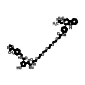 Cc1ncsc1-c1ccc(CNC(=O)[C@@H]2C[C@@H](O)CC2C(=O)[C@@H](NC(=O)COCCOCCOCCOCCOCC(=O)Nc2ccc([C@@H]3c4[nH]c5ccccc5c4C[C@@H](C)N3CC(C)(C)F)cc2)C(C)(C)C)cc1